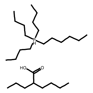 CCCCC(CCC)C(=O)O.CCCCCC[PH](CCCC)(CCCC)CCCC